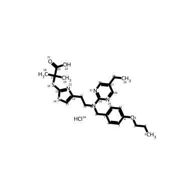 CCCOc1ccc(CN(CCc2csc(SC(C)(C)C(=O)O)n2)c2ncc(CC)cn2)cc1.Cl